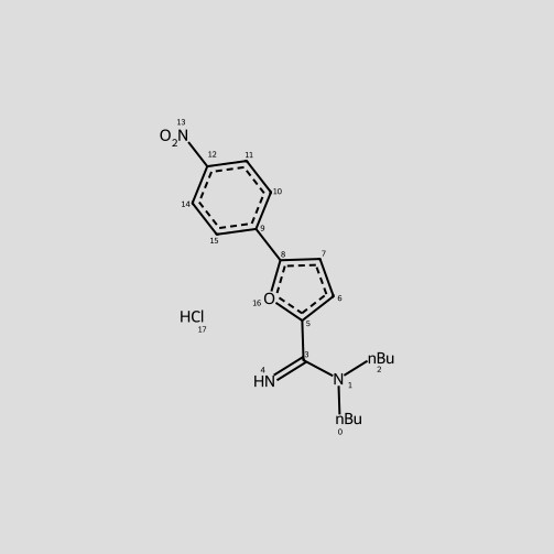 CCCCN(CCCC)C(=N)c1ccc(-c2ccc([N+](=O)[O-])cc2)o1.Cl